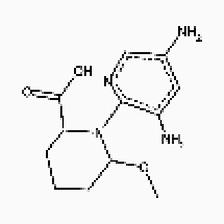 COC1CCCC(C(=O)O)N1c1ncc(N)cc1N